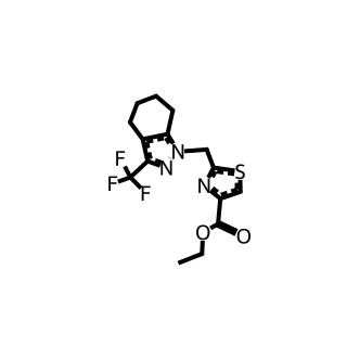 CCOC(=O)c1csc(Cn2nc(C(F)(F)F)c3c2CCCC3)n1